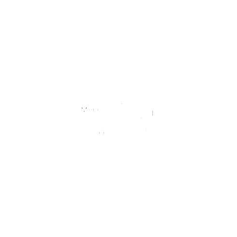 COC(=O)C1CC(F)(F)CO1